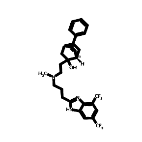 CN(CCCc1nc2c(C(F)(F)F)cc(C(F)(F)F)cc2[nH]1)CCC1(O)CC2CC[C@H]1C=C2c1ccccc1